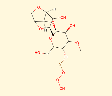 COC1[C@H](OSOOO)C(CO)O[C@@H](O[C@H]2C3CO[C@H]2C(O)[C@@H](C)O3)[C@H]1O